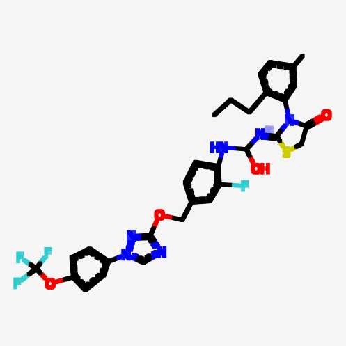 CCCc1ccc(C)cc1N1C(=O)CS/C1=N\C(O)Nc1ccc(COc2ncn(-c3ccc(OC(F)(F)F)cc3)n2)cc1F